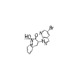 O=C(NO)C(Cc1ccccc1)n1ncc2cc(Br)cnc21